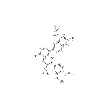 COc1ccc(C(=O)N(Cc2cc(-c3ccc4nc(C)nc(NC5CC5)c4c3)ccc2F)C2CC2)cc1OC